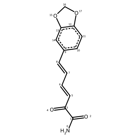 NC(=O)C(=O)/C=C/C=C/c1ccc2c(c1)OCO2